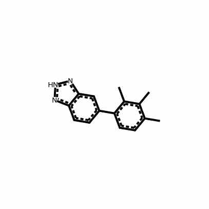 Cc1ccc(-c2ccc3n[nH]nc3c2)c(C)c1C